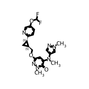 CN(c1cnn(C)c1)c1cc(OC[C@H]2C[C@@H]2c2ccc(OC(F)F)cn2)nn(C)c1=O